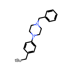 CC(C)(C)Cc1ccc(N2CCN(Cc3ccccc3)CC2)cc1